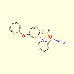 CCS(=O)(=O)[N+]1(c2cccc(Oc3ccccc3)c2)CC=CC=C1CN